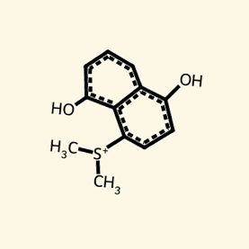 C[S+](C)c1ccc(O)c2cccc(O)c12